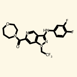 O=C(c1cc2c(cn1)c(Nc1ccc(F)c(F)c1)nn2CC(F)(F)F)N1CCCOCC1